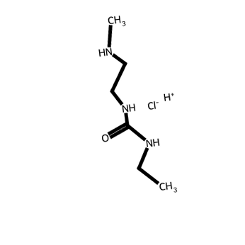 CCNC(=O)NCCNC.[Cl-].[H+]